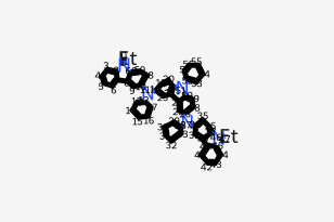 CCn1c2ccccc2c2cc(N(c3ccccc3)c3ccc4c(c3)c3cc(N(c5ccccc5)c5ccc6c(c5)c5ccccc5n6CC)ccc3n4-c3ccccc3)ccc21